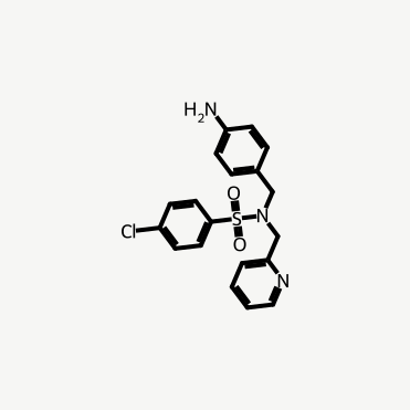 Nc1ccc(CN(Cc2ccccn2)S(=O)(=O)c2ccc(Cl)cc2)cc1